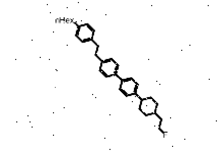 CCCCCCc1ccc(CCc2ccc(-c3ccc(C4CCC(CCF)CC4)cc3)cc2)cc1